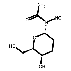 NC(=O)N(N=O)[C@@H]1CC[C@@H](O)[C@@H](CO)O1